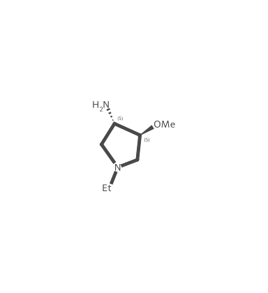 CCN1C[C@H](OC)[C@@H](N)C1